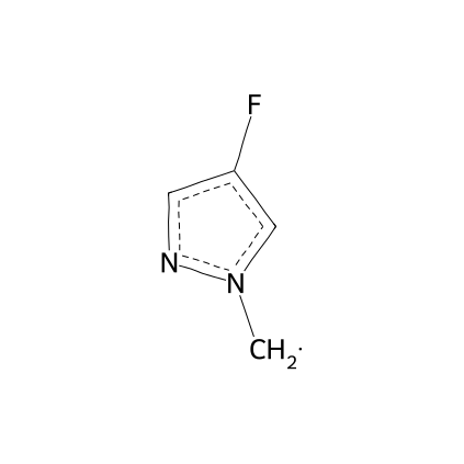 [CH2]n1cc(F)cn1